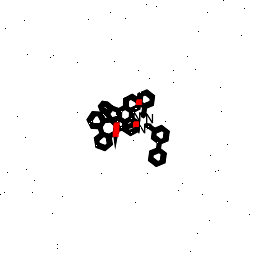 c1ccc(-c2cccc(-c3nc(-c4ccccc4)nc(-c4ccc5c(c4)C4(c6ccccc6-c6ccccc6-5)c5ccccc5-c5c4c4ccccc4c4ccccc54)n3)c2)cc1